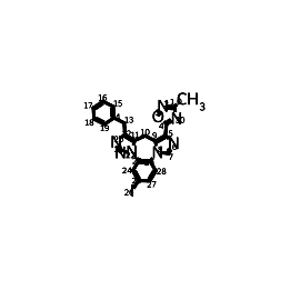 Cc1noc(-c2ncn3c2Cc2c(Cc4ccccc4)nnn2-c2cc(I)ccc2-3)n1